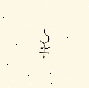 CN/C=C\N(I)S(=O)(=O)C(F)(F)F